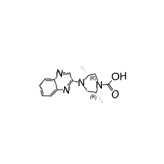 C[C@@H]1CN(c2cnc3ccccc3n2)[C@H](C)CN1C(=O)O